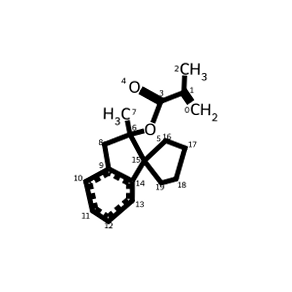 C=C(C)C(=O)OC1(C)Cc2ccccc2C12CCCC2